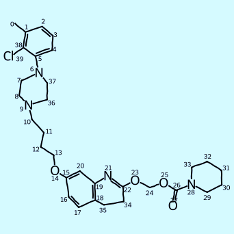 Cc1cccc(N2CCN(CCCCOc3ccc4c(c3)N=C(OCOC(=O)N3CCCCC3)CC4)CC2)c1Cl